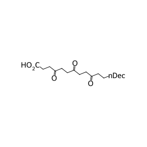 CCCCCCCCCCCCC(=O)CCC(=O)CCC(=O)CCC(=O)O